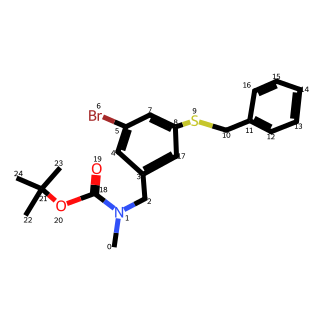 CN(Cc1cc(Br)cc(SCc2ccccc2)c1)C(=O)OC(C)(C)C